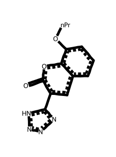 CCCOc1cccc2cc(-c3nnn[nH]3)c(=O)oc12